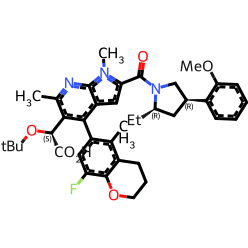 CC[C@@H]1C[C@H](c2ccccc2OC)CN1C(=O)c1cc2c(-c3cc(F)c4c(c3C)CCCO4)c([C@H](OC(C)(C)C)C(=O)O)c(C)nc2n1C